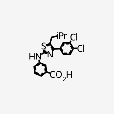 CC(C)Cc1sc(Nc2cccc(C(=O)O)c2)nc1-c1ccc(Cl)c(Cl)c1